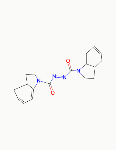 O=C(N=NC(=O)N1CCC2CC=CC=C21)N1CCC2CC=CC=C21